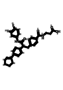 O=C(O)CCNC(=O)c1ccc(CC(C(=O)Nc2ccc(F)c(F)c2)c2ccc(C3=CCCCC3)cc2)cc1